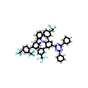 FC(F)(F)c1cccc(-c2cc(-c3nc(-c4ccccc4)nc(-c4ccccc4)n3)cc(-c3cccc(C(F)(F)F)c3)c2-n2c3ccccc3c3cc(-c4ccc(C(F)(F)F)cc4C(F)(F)F)ccc32)c1